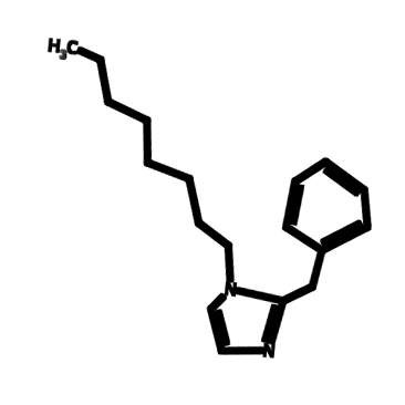 CCCCCCCCn1ccnc1Cc1ccccc1